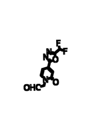 O=CCn1ccc(-c2nnc(C(F)F)o2)cc1=O